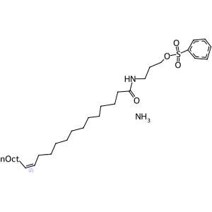 CCCCCCCC/C=C\CCCCCCCCCCCC(=O)NCCCOS(=O)(=O)c1ccccc1.N